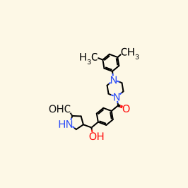 Cc1cc(C)cc(N2CCN(C(=O)c3ccc(C(O)C4CNC(C=O)C4)cc3)CC2)c1